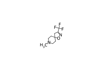 CN1CCC2(CC1)CC(C(F)(F)F)=NO2